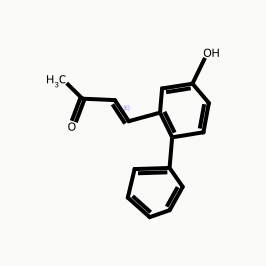 CC(=O)/C=C/c1cc(O)ccc1-c1ccccc1